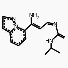 C=C(/N=C\C=C(/N)c1cccc2ccnn12)NC(C)C